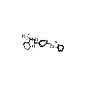 C[C@@H](NC(=O)c1ccc(COc2ccccc2F)nc1)C1CCCCC1